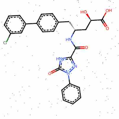 O=C(N[C@H](Cc1ccc(-c2cccc(Cl)c2)cc1)C[C@@H](O)C(=O)O)c1nn(-c2ccccc2)c(=O)[nH]1